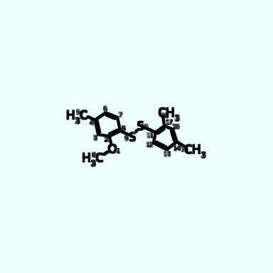 COc1cc(C)ccc1SSc1ccc(C)cc1C